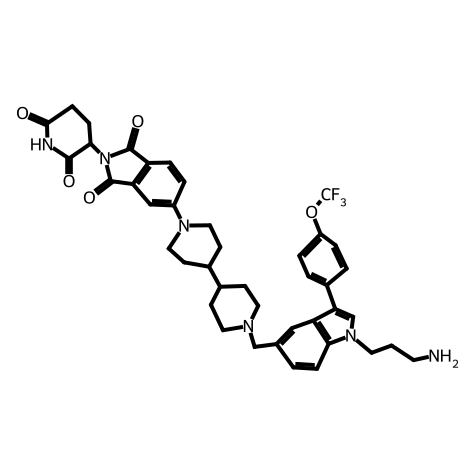 NCCCn1cc(-c2ccc(OC(F)(F)F)cc2)c2cc(CN3CCC(C4CCN(c5ccc6c(c5)C(=O)N(C5CCC(=O)NC5=O)C6=O)CC4)CC3)ccc21